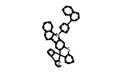 c1ccc2c(c1)Sc1cc3c(cc1C21c2ccccc2-c2ccccc21)c1ccc2ccccc2c1n3-c1ccc(-c2cccc3ccccc23)cc1